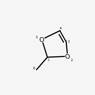 CC1O[C]=CO1